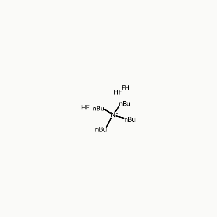 CCCC[N+](CCCC)(CCCC)CCCC.F.F.F